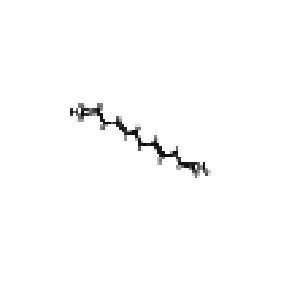 C=CCC=CCCC=CCC=C